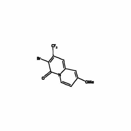 COc1ccn2c(=O)c(Br)c(C(F)(F)F)cc2c1